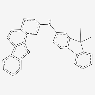 CC1(C)c2ccccc2-c2ccc(Nc3ccc4ccc5c6ccccc6oc5c4c3)cc21